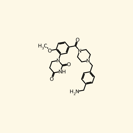 COc1ccc(C(=O)N2CCN(Cc3ccc(CN)cc3)CC2)cc1N1CCC(=O)NC1=O